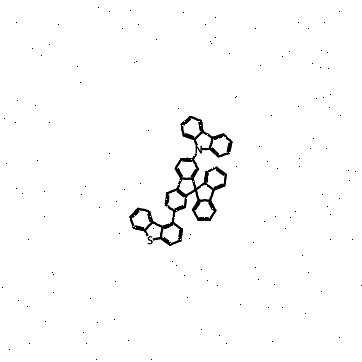 c1ccc2c(c1)-c1ccccc1C21c2cc(-c3cccc4sc5ccccc5c34)ccc2-c2ccc(-n3c4ccccc4c4ccccc43)cc21